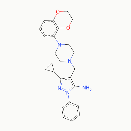 Nc1c(CN2CCN(c3cccc4c3OCCO4)CC2)c(C2CC2)nn1-c1ccccc1